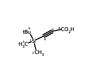 CC(C)(C)[Si](C)(C)C#CC(=O)O